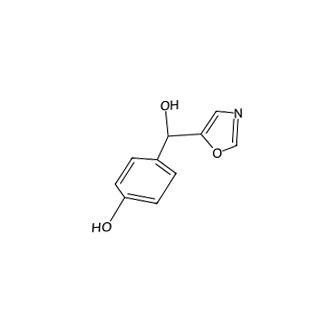 Oc1ccc(C(O)c2cnco2)cc1